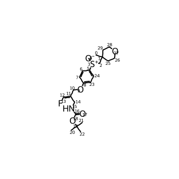 CC1(C[S+]([O-])c2ccc(OC/C(=C/F)CNC(=O)OC(C)(C)C)cc2)CCOCC1